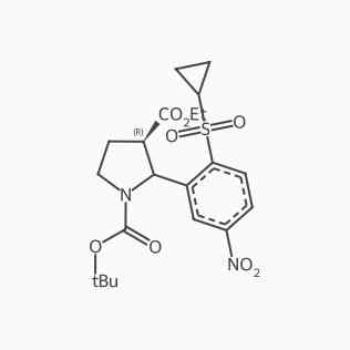 CCOC(=O)[C@@H]1CCN(C(=O)OC(C)(C)C)C1c1cc([N+](=O)[O-])ccc1S(=O)(=O)C1CC1